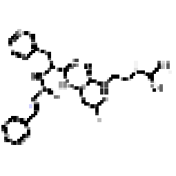 CC(C)CC(NC(=O)C(Cc1ccccc1)NC(=O)/C=C/c1ccccc1)C(=O)NCCNC(=N)N